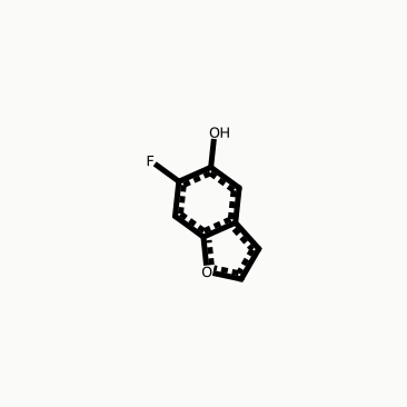 Oc1cc2ccoc2cc1F